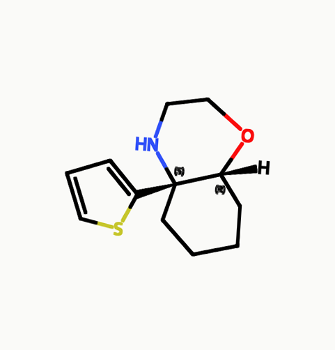 c1csc([C@]23CCCC[C@H]2OCCN3)c1